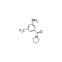 Nc1cc(C(=O)N2CCCC2)cc(C(F)(F)F)c1